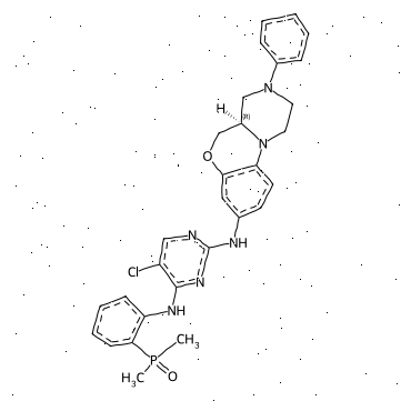 CP(C)(=O)c1ccccc1Nc1nc(Nc2ccc3c(c2)OC[C@H]2CN(c4ccccc4)CCN32)ncc1Cl